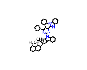 CC1(C)c2cc3c(cc2-c2ccc4ccccc4c21)c1ccccc1n3-c1nc(-c2ccccc2)c2c3ccccc3n3c4ccccc4nc3c2n1